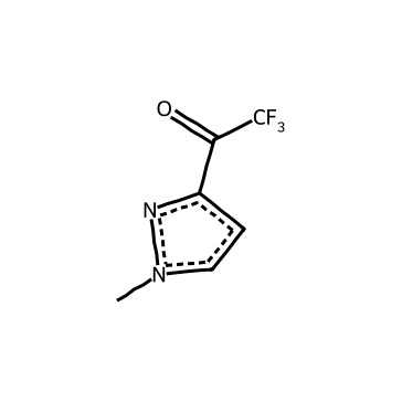 Cn1ccc(C(=O)C(F)(F)F)n1